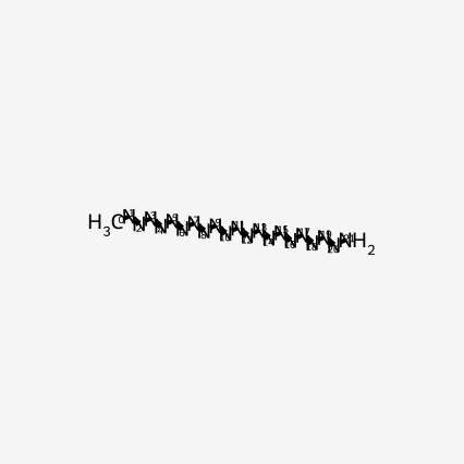 C/N=N/N=N/N=N/N=N/N=N/N=N/N=N/N=N/N=N/N=N/N